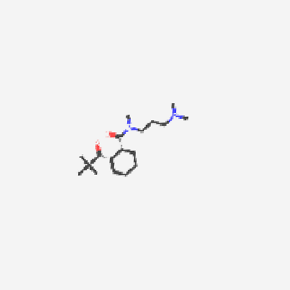 CN(C)CCCN(C)C(=O)[C@@H]1CCCC[C@@H]1C(=O)C(C)(C)C